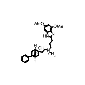 COc1cc(OC)c2nc(CCCN(C)CC[C@@]3(O)C[C@@H]4CC[C@H]3C=C4c3ccccc3)[nH]c2c1